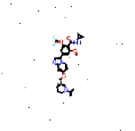 COc1cc(-c2cnc3cc(OC[C@@H]4CCCN(C(C)C)C4)ccn23)cc(OC(F)F)c1C(=O)NC1CC1